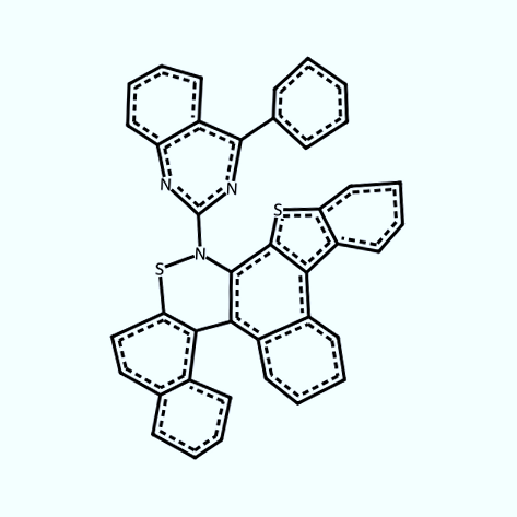 c1ccc(-c2nc(N3Sc4ccc5ccccc5c4-c4c3c3sc5ccccc5c3c3ccccc43)nc3ccccc23)cc1